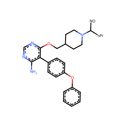 CCCC(N=O)N1CCC(COc2ncnc(N)c2-c2ccc(Oc3ccccc3)cc2)CC1